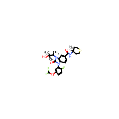 CC(n1c(=O)n(-c2cc(OC(F)F)ccc2F)c2ccc(C(=O)NC3(C)CCSCC3)cc21)C(C)(C)O